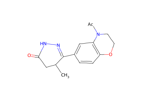 CC(=O)N1CCOc2ccc(C3=NNC(=O)CC3C)cc21